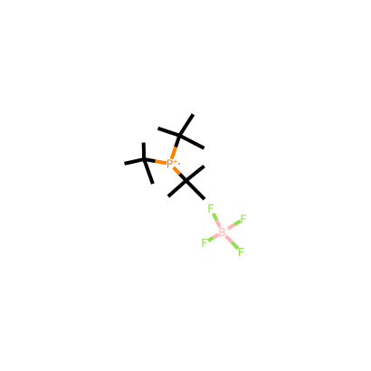 CC(C)(C)[P+](C(C)(C)C)C(C)(C)C.F[B-](F)(F)F